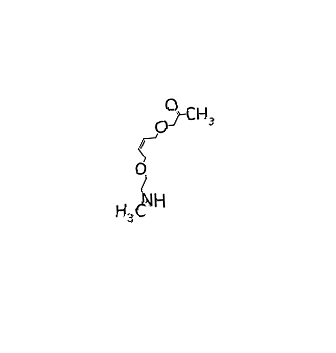 CNCCOC/C=C\COCC(C)=O